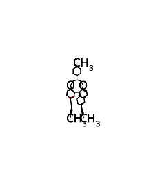 CC#Cc1ccc2c3c(ccc2c1)OCC(C1CCC(C)CC1)COc1ccc2cc(C#CC)ccc2c1-3